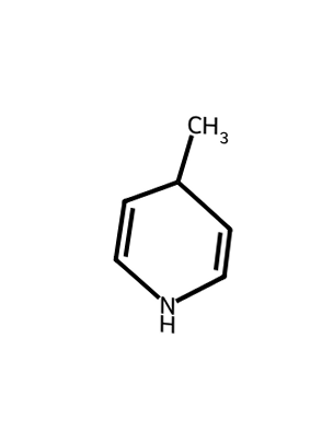 CC1C=CNC=C1